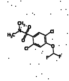 CN(C)S(=O)(=O)c1cc(Cl)c(OC(F)F)cc1Cl